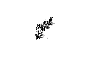 NC(=O)c1c(-c2ccc(-n3nccn3)c(C(F)(F)F)c2)nn(-c2cnc3[nH]c(=C=O)c4cccc2c34)c1C(F)(F)F